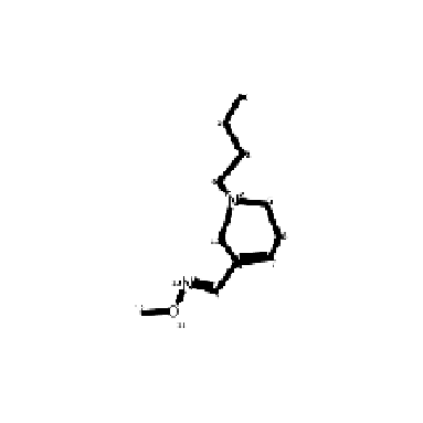 CCCCN1CCC=C(C=NOC)C1